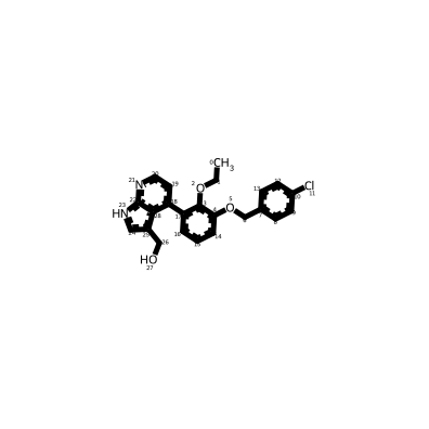 CCOc1c(OCc2ccc(Cl)cc2)cccc1-c1ccnc2[nH]cc(CO)c12